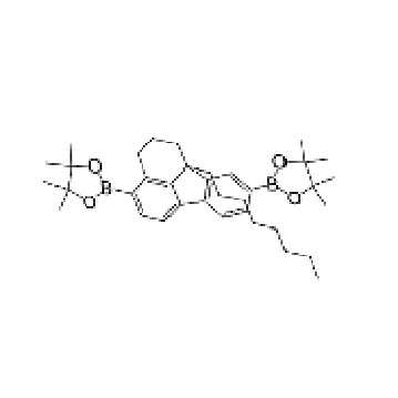 CCCCCCCCC12CCCc3c(B4OC(C)(C)C(C)(C)O4)ccc(c31)-c1ccc(B3OC(C)(C)C(C)(C)O3)cc12